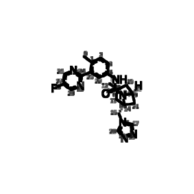 Cc1ccc(NC(=O)N2[C@H]3C[C@H](C)C[C@]2(Cn2cnnc2)C3)cc1-c1ncc(F)cn1